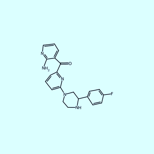 Nc1ncccc1C(=O)c1cccc(N2CCNC(c3ccc(F)cc3)C2)n1